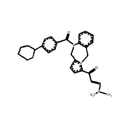 CN(C)C=CC(=O)c1ccc2n1Cc1ccccc1N(C(=O)c1ccc(C3CCCCC3)cc1)C2